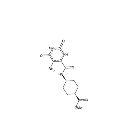 COC(=O)[C@H]1CC[C@@H](NC(=O)c2[nH]c(=O)[nH]c(=O)c2N)CC1